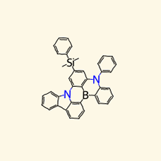 C[Si](C)(c1ccccc1)c1cc2c3c(c1)-n1c4ccccc4c4cccc(c41)B3c1ccccc1N2c1ccccc1